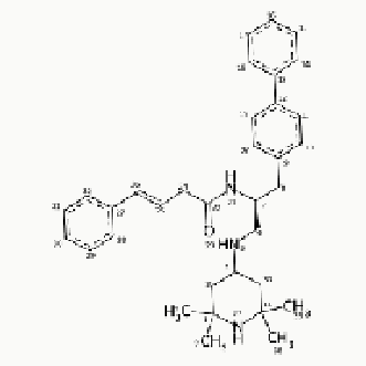 CC1(C)CC(NC[C@H](Cc2ccc(-c3ccccc3)cc2)NC(=O)C/C=C/c2ccccc2)CC(C)(C)N1